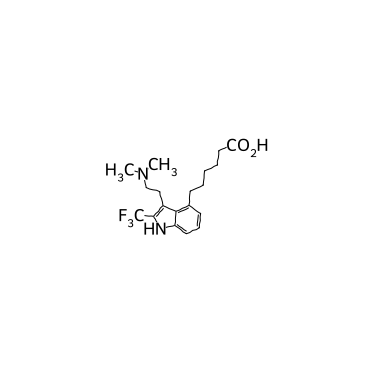 CN(C)CCc1c(C(F)(F)F)[nH]c2cccc(CCCCCC(=O)O)c12